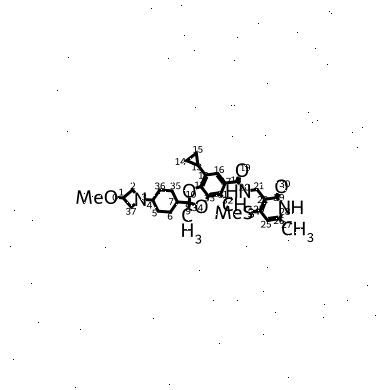 COC1CN(C2CCC(C3(C)Oc4c(C5CC5)cc(C(=O)NCc5c(SC)cc(C)[nH]c5=O)c(C)c4O3)CC2)C1